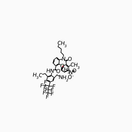 CCCCCN(C(=O)c1cccc([N+](=O)[O-])c1C)c1cccc(C(=O)Nc2c(CC)cc(C(F)(C(F)(F)F)C(F)(F)C(F)(F)F)cc2CN)c1OC